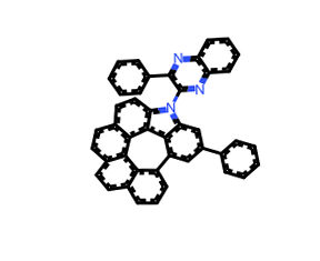 c1ccc(-c2cc3c4c5c6c(ccc7ccc8cccc-3c8c76)ccc5n(-c3nc5ccccc5nc3-c3ccccc3)c4c2)cc1